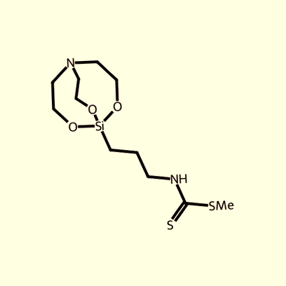 CSC(=S)NCCC[Si]12OCCN(CCO1)CCO2